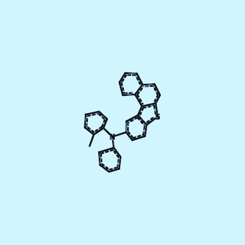 Cc1ccccc1N(c1ccccc1)c1ccc2sc3ccc4ccccc4c3c2c1